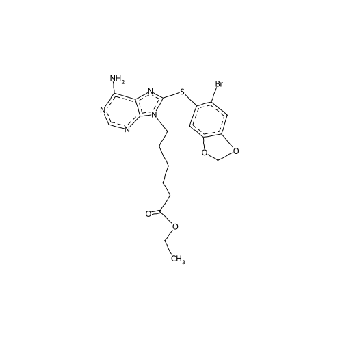 CCOC(=O)CCCCCn1c(Sc2cc3c(cc2Br)OCO3)nc2c(N)ncnc21